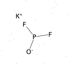 [K+].[O-]P(F)F